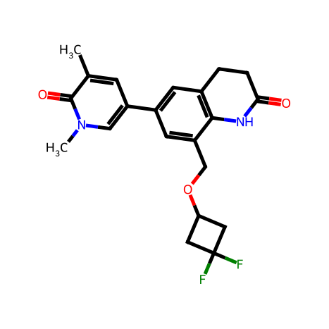 Cc1cc(-c2cc3c(c(COC4CC(F)(F)C4)c2)NC(=O)CC3)cn(C)c1=O